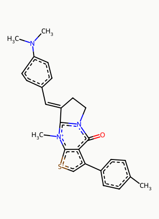 Cc1ccc(-c2csc3c2c(=O)n2c([n+]3C)/C(=C/c3ccc(N(C)C)cc3)CC2)cc1